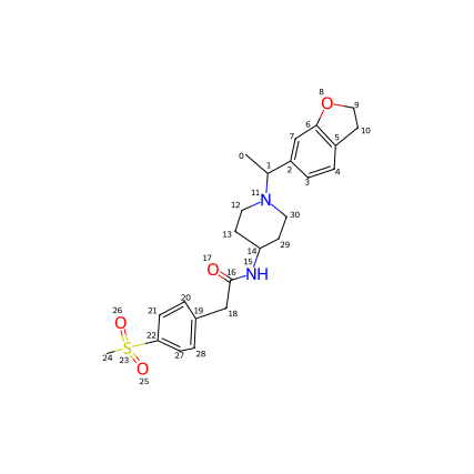 CC(c1ccc2c(c1)OCC2)N1CCC(NC(=O)Cc2ccc(S(C)(=O)=O)cc2)CC1